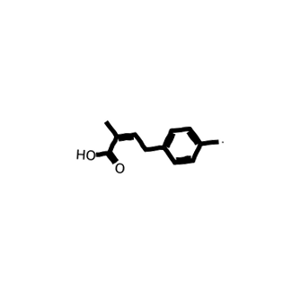 [CH2]c1ccc(CC=C(C)C(=O)O)cc1